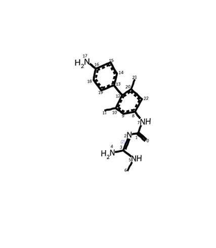 C=C(/N=C(/N)NC)Nc1cc(C)c(-c2ccc(N)cc2)c(C)c1